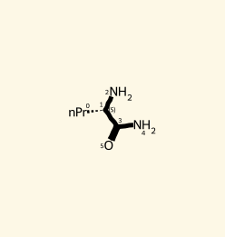 CCC[C@H](N)C(N)=O